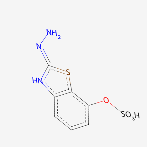 NN=c1[nH]c2cccc(OS(=O)(=O)O)c2s1